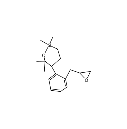 CC1(C)O[Si](C)(C)CCC1c1ccccc1CC1CO1